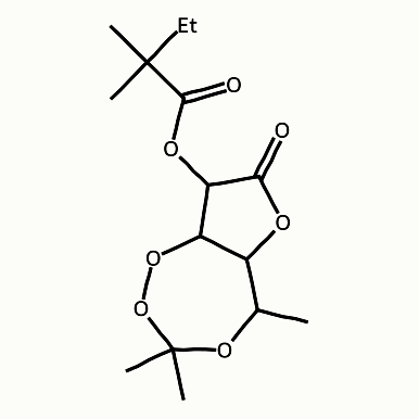 CCC(C)(C)C(=O)OC1C(=O)OC2C(C)OC(C)(C)OOC12